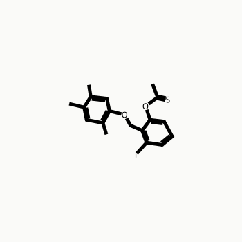 CC(=S)Oc1cccc(I)c1COc1cc(C)c(C)cc1C